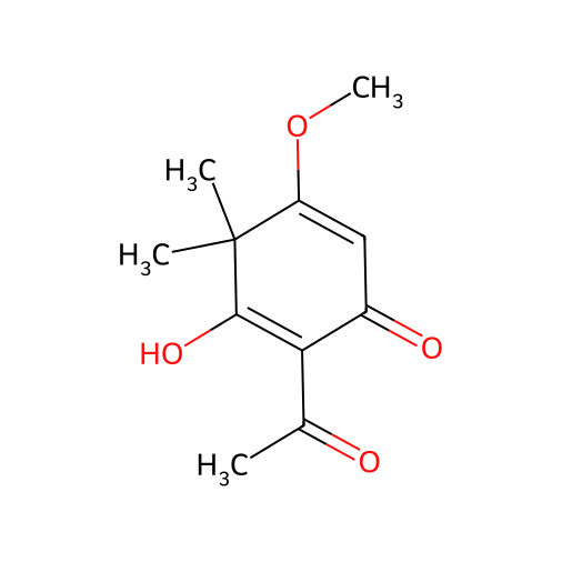 COC1=CC(=O)C(C(C)=O)=C(O)C1(C)C